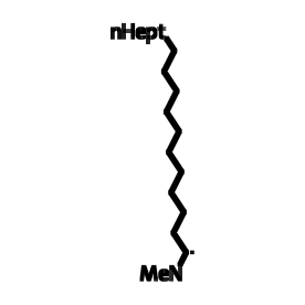 [CH2]CCCCCCCCCCCCCCCC[CH]NC